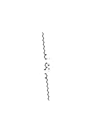 CCCCCCCCCCCC(=O)CC(O)NC(=O)C(CC(=O)OC(N)CC(=O)CCCCCCCCCCC)S(=O)(=O)O